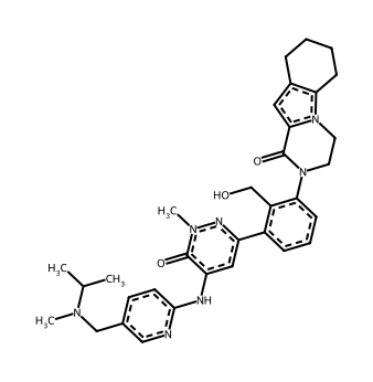 CC(C)N(C)Cc1ccc(Nc2cc(-c3cccc(N4CCn5c(cc6c5CCCC6)C4=O)c3CO)nn(C)c2=O)nc1